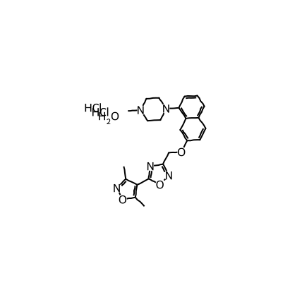 Cc1noc(C)c1-c1nc(COc2ccc3cccc(N4CCN(C)CC4)c3c2)no1.Cl.Cl.O